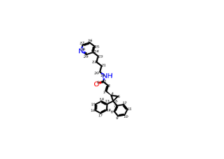 O=C(/C=C/[C@H]1CC1(c1ccccc1)c1ccccc1)NCCCCc1cccnc1